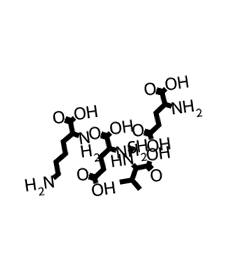 CC(C)C(NS)C(=O)O.NC(CCC(=O)O)C(=O)O.NC(CCC(=O)O)C(=O)O.NCCCCC(N)C(=O)O